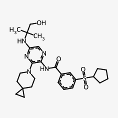 CC(C)(CO)Nc1cnc(NC(=O)c2cccc(S(=O)(=O)C3CCCC3)c2)c(N2CCC3(CC2)CC3)n1